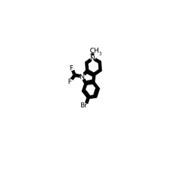 CN1CCc2c(n(C(F)F)c3cc(Br)ccc23)C1